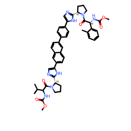 COC(=O)NC(C(=O)N1CCC[C@H]1c1ncc(-c2ccc3cc(-c4ccc(-c5cnc([C@@H]6CCCN6C(=O)[C@H](NC(=O)OC)c6ccccc6C)[nH]5)cc4)ccc3c2)[nH]1)C(C)C